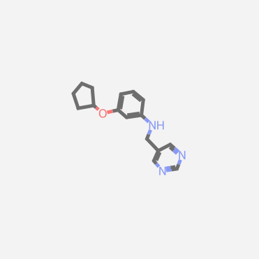 c1cc(NCc2cncnc2)cc(OC2CCCC2)c1